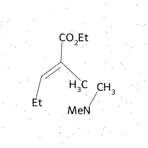 CCC=C(C)C(=O)OCC.CNC